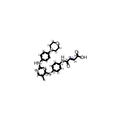 Cc1cnc(Nc2ccc(N3CCOCC3)cc2)nc1Sc1ccc(NC(=O)/C=C/C(=O)O)cc1